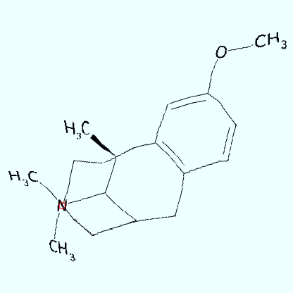 COc1ccc2c(c1)[C@@]1(C)CCCC(C2)C1N(C)C